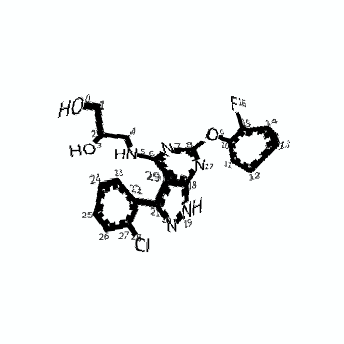 OCC(O)CNc1nc(Oc2ccccc2F)nc2[nH]nc(-c3ccccc3Cl)c12